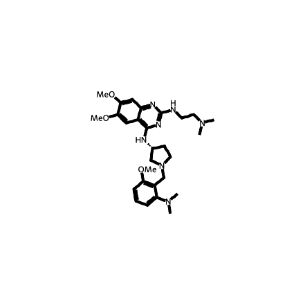 COc1cc2nc(NCCN(C)C)nc(N[C@@H]3CCN(Cc4c(OC)cccc4N(C)C)C3)c2cc1OC